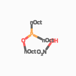 CCCCCCCCOP(CCCCCCCC)CCCCCCCC.O=[N+]([O-])O